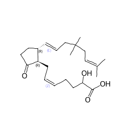 CC(C)=CCC(C)(C)C/C=C/[C@H]1CCC(=O)[C@@H]1C/C=C\CCC(O)C(=O)O